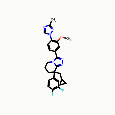 COc1cc(-c2nnc3n2CCCC3(CC2CC2)c2ccc(F)c(F)c2)ccc1-n1cnc(C)n1